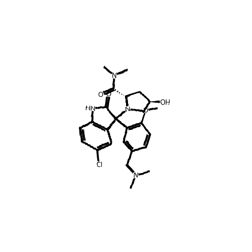 COc1ccc(CN(C)C)cc1C1(N2C[C@H](O)C[C@H]2C(=O)N(C)C)C(=O)Nc2ccc(Cl)cc21